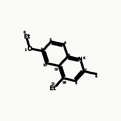 CCOc1ccc2nc(C)cc(CC)c2c1